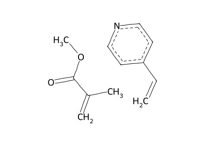 C=C(C)C(=O)OC.C=Cc1ccncc1